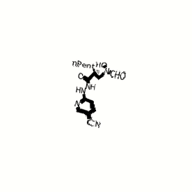 CCCCC[C@@H](CN(O)C=O)C(=O)NNc1ccc(C#N)cn1